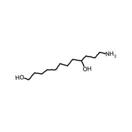 NCCCC(O)CCCCCCCCO